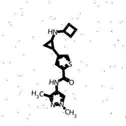 Cc1nn(C)cc1NC(=O)c1cc(C2CC2NC2CCC2)cs1